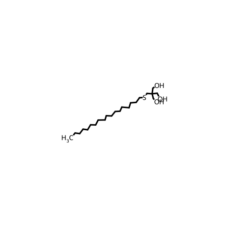 CCCCCCCCCCCCCCCCCCSCC(CO)(CO)CO